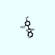 CSc1ccc(-c2nc3cnccc3[nH]2)c(O)c1